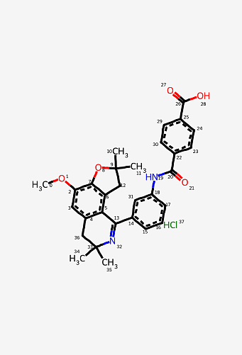 COc1cc2c(c3c1OC(C)(C)C3)C(c1cccc(NC(=O)c3ccc(C(=O)O)cc3)c1)=NC(C)(C)C2.Cl